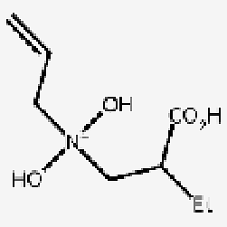 C=CC[N+](O)(O)CC(CC)C(=O)O